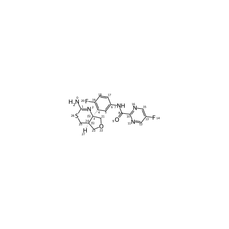 NC1=N[C@@]2(c3cc(NC(=O)c4ncc(F)cn4)ccc3F)COC[C@H]2CS1